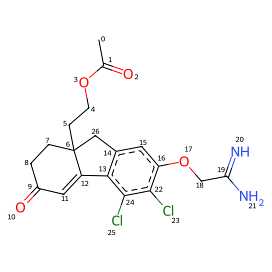 CC(=O)OCCC12CCC(=O)C=C1c1c(cc(OCC(=N)N)c(Cl)c1Cl)C2